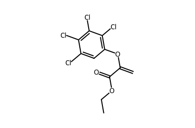 C=C(Oc1cc(Cl)c(Cl)c(Cl)c1Cl)C(=O)OCC